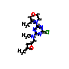 CC1CC(CN(C)c2nc(Cl)nc(N3CCOC[C@H]3C)n2)O1